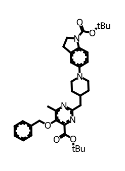 Cc1nc(CC2CCN(c3ccc4c(c3)CCN4C(=O)OC(C)(C)C)CC2)nc(C(=O)OC(C)(C)C)c1OCc1ccccc1